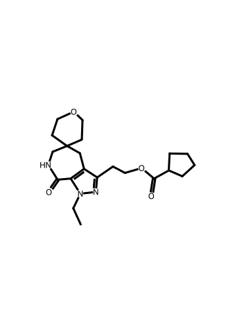 CCn1nc(CCOC(=O)C2CCCC2)c2c1C(=O)NCC1(CCOCC1)C2